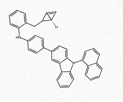 C1=C2C(Cc3ccccc3Nc3ccc(-c4ccc5c(c4)c4ccccc4n5-c4cccc5ccccc45)cc3)[C@H]12